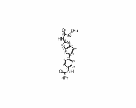 CC(C)C(=O)Nc1ccc(-c2ccc3nc(NC(=O)OC(C)(C)C)sc3n2)cc1